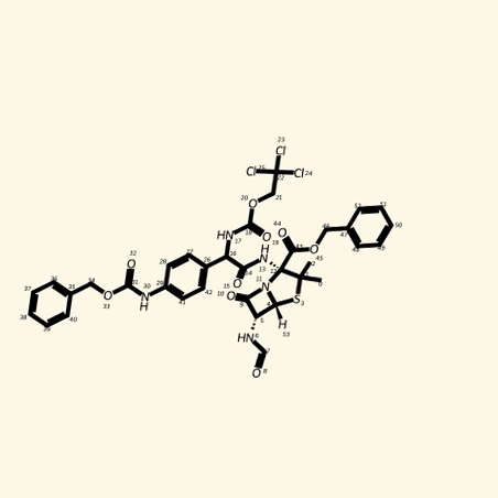 CC1(C)S[C@@H]2[C@H](NC=O)C(=O)N2[C@@]1(NC(=O)C(NC(=O)OCC(Cl)(Cl)Cl)c1ccc(NC(=O)OCc2ccccc2)cc1)C(=O)OCc1ccccc1